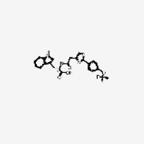 O=C(Cc1csc(-c2ccc(OC(F)(F)F)cc2)n1)N[C@@H](Cc1c[nH]c2ccccc12)C(=O)O